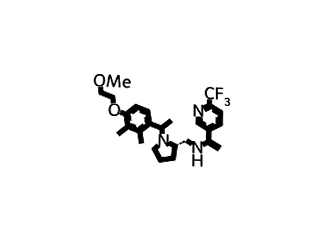 C=C(NC[C@@H]1CCCN1C(C)c1ccc(OCCOC)c(C)c1C)c1ccc(C(F)(F)F)nc1